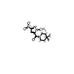 Cn1nc([N+](=O)[O-])cc1C(=O)N1CCC(F)(F)CC1